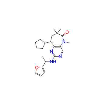 CC(Nc1ncc2c(n1)C(C1CCCC1)CC(C)(C)C(=O)N2C)c1ccco1